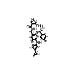 Cc1oncc1C(=O)NCc1cc(F)c(Nc2cc(C3CC3)[nH]n2)nc1NC(C)c1ccc(F)cc1